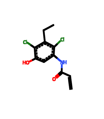 C=CC(=O)Nc1cc(O)c(Cl)c(CC)c1Cl